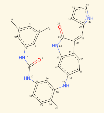 Cc1cc(C)cc(NC(=O)Nc2ccc(C)c(Nc3ccc4c(c3)NC(=O)C4=Cc3ccc[nH]3)c2)c1